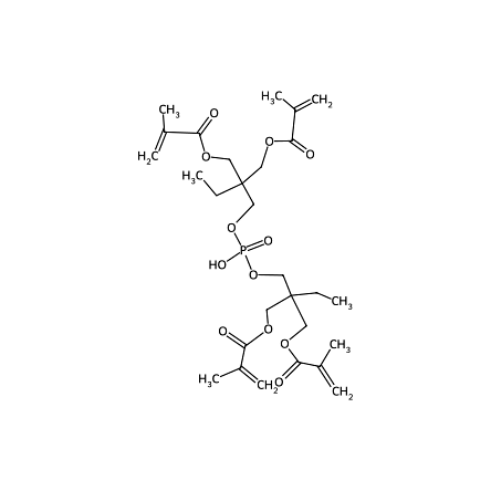 C=C(C)C(=O)OCC(CC)(COC(=O)C(=C)C)COP(=O)(O)OCC(CC)(COC(=O)C(=C)C)COC(=O)C(=C)C